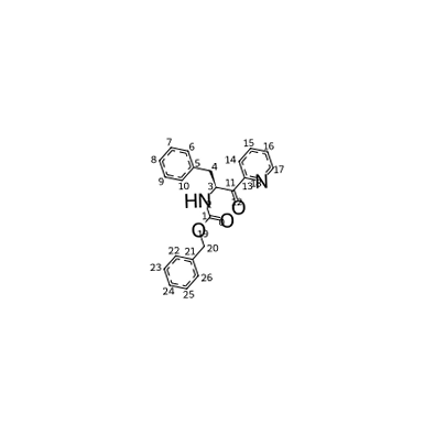 O=C(N[C@@H](Cc1ccccc1)C(=O)c1ccccn1)OCc1ccccc1